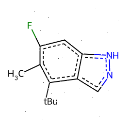 Cc1c(F)cc2[nH]ncc2c1C(C)(C)C